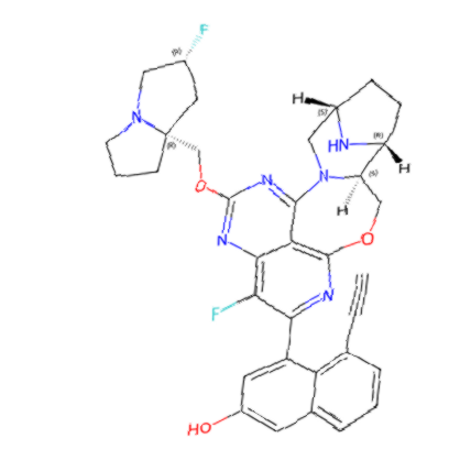 C#Cc1cccc2cc(O)cc(-c3nc4c5c(nc(OC[C@]67CCCN6C[C@H](F)C7)nc5c3F)N3C[C@@H]5CC[C@@H](N5)[C@H]3CO4)c12